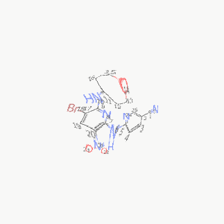 N#Cc1ccc(Nc2nc(NC3CCOCC3)c(Br)cc2[N+](=O)[O-])nc1